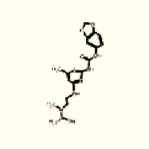 CB(O)N(C)CCNc1cc(C)nc(NC(=O)Nc2ccc3c(c2)OCO3)n1